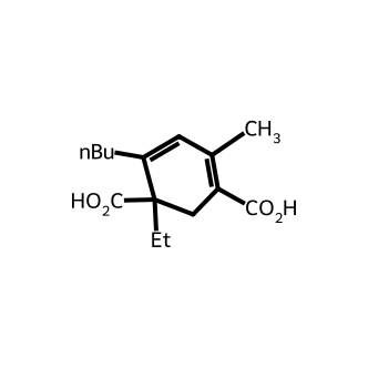 CCCCC1=CC(C)=C(C(=O)O)CC1(CC)C(=O)O